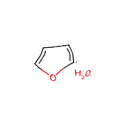 O.[c]1ccco1